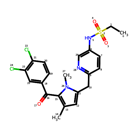 CCS(=O)(=O)Nc1ccc(Cc2cc(C)c(C(=O)c3ccc(Cl)c(Cl)c3)n2C)nc1